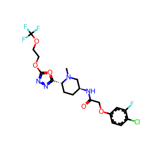 CN1C[C@@H](NC(=O)COc2ccc(Cl)c(F)c2)CC[C@@H]1c1nnc(OCCOC(F)(F)F)o1